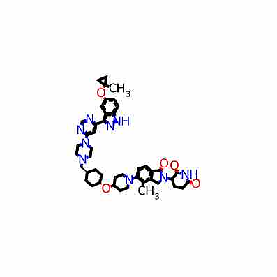 Cc1c(N2CCC(O[C@H]3CC[C@H](CN4CCN(c5cc(-c6n[nH]c7ccc(OC8(C)CC8)cc67)ncn5)CC4)CC3)CC2)ccc2c1CN(C1CCC(=O)NC1=O)C2=O